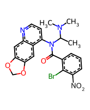 CC(N(C)C)N(C(=O)c1cccc([N+](=O)[O-])c1Br)c1ccnc2cc3c(cc12)OCO3